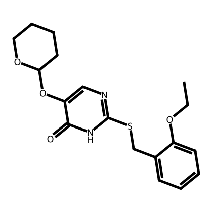 CCOc1ccccc1CSc1ncc(OC2CCCCO2)c(=O)[nH]1